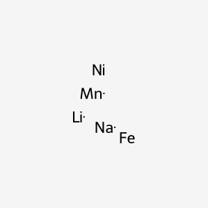 [Fe].[Li].[Mn].[Na].[Ni]